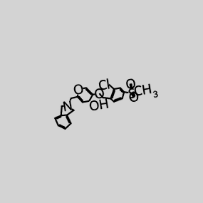 CS(=O)(=O)c1ccc(COC2=COC(CN3Cc4ccccc4C3)=CC2O)c(Cl)c1